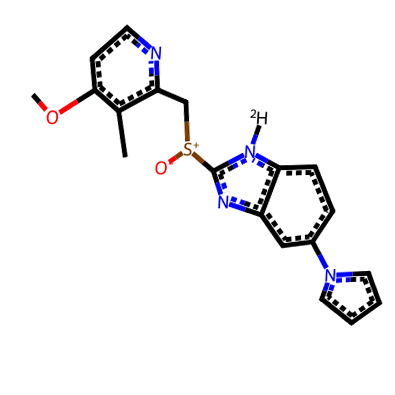 [2H]n1c([S+]([O-])Cc2nccc(OC)c2C)nc2cc(-n3cccc3)ccc21